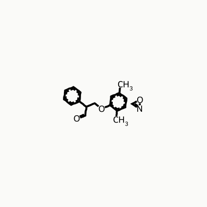 C1=NO1.Cc1ccc(C)c(OCC(C=O)c2ccccc2)c1